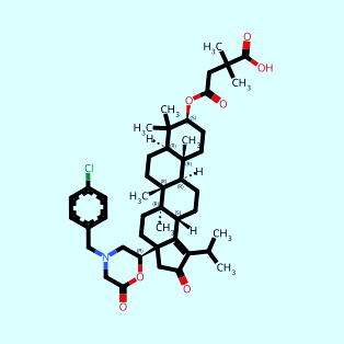 CC(C)C1=C2[C@H]3CC[C@@H]4[C@@]5(C)CC[C@H](OC(=O)CC(C)(C)C(=O)O)C(C)(C)[C@@H]5CC[C@@]4(C)[C@]3(C)CCC2([C@@H]2CN(Cc3ccc(Cl)cc3)CC(=O)O2)CC1=O